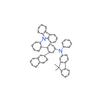 CC1(C)c2ccccc2-c2ccc(N(c3ccccc3)c3ccc(-c4ccccc4-n4c5ccccc5c5ccccc54)c(-c4ccc5ccccc5c4)c3)cc21